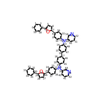 c1ccc(-c2ccc(-c3ccc(N(c4ccc(-c5ccc(N(c6ccc(-c7ccc(-c8ccccc8)o7)cc6)c6cccnc6)cc5)cc4)c4cccnc4)cc3)o2)cc1